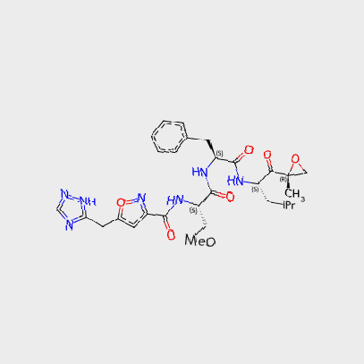 COC[C@H](NC(=O)c1cc(Cc2ncn[nH]2)on1)C(=O)N[C@@H](Cc1ccccc1)C(=O)N[C@@H](CC(C)C)C(=O)[C@@]1(C)CO1